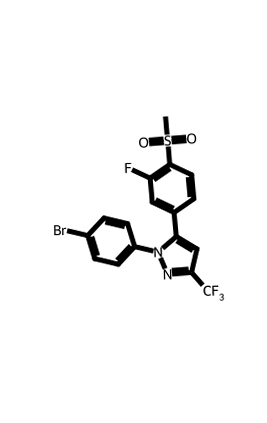 CS(=O)(=O)c1ccc(-c2cc(C(F)(F)F)nn2-c2ccc(Br)cc2)cc1F